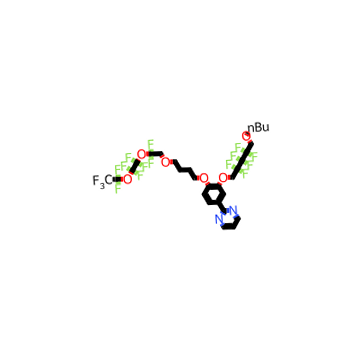 CCCCOCC(F)(F)C(F)(F)C(F)(F)COc1cc(-c2ncccn2)ccc1OCCCCOCC(F)(F)OC(F)(F)C(F)(F)OC(F)(F)C(F)(F)F